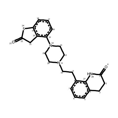 O=C1CCc2cccc(CCN3CCN(c4cccc5c4CC(=O)S5)CC3)c2N1